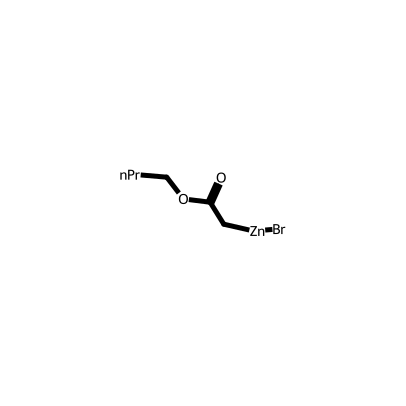 CCCCOC(=O)[CH2][Zn][Br]